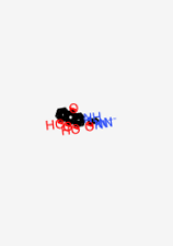 [N-]=[N+]=NCC(=O)Nc1cc(O)c2c(c1)C(=O)c1cccc(O)c1C2=O